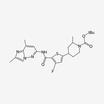 Cc1cn2nc(NC(=O)c3sc(C4CCN(C(=O)OC(C)(C)C)C(C)C4)cc3F)cc(C)c2n1